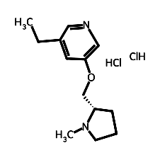 CCc1cncc(OC[C@@H]2CCCN2C)c1.Cl.Cl